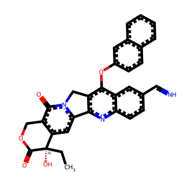 CC[C@@]1(O)C(=O)OCc2c1cc1n(c2=O)Cc2c-1nc1ccc(C=N)cc1c2Oc1ccc2ccccc2c1